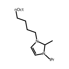 CCCCCCCCCCCCN1C=CN(C(C)C)C1C